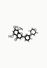 COc1c(O)cc(O)c2c(=O)cc(-c3cccc(N4CCOCC4)c3)oc12